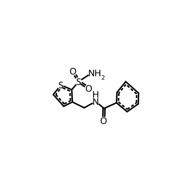 NS(=O)(=O)c1sccc1CNC(=O)c1ccccc1